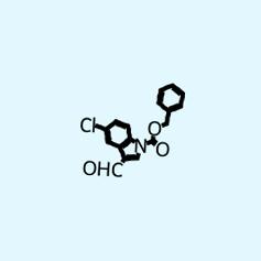 O=Cc1cn(C(=O)OCc2ccccc2)c2ccc(Cl)cc12